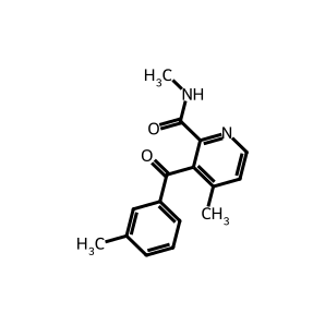 CNC(=O)c1nccc(C)c1C(=O)c1cccc(C)c1